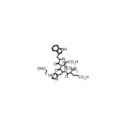 NC(CCC(=O)O)C(=O)NC(Cc1c[nH]cn1)C(=O)N(C(=O)C(N)Cc1c[nH]c2ccccc12)C(CC(=O)O)C(=O)O.O=CCF